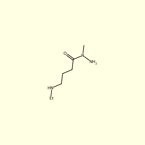 CCNCCCC(=O)N(C)N